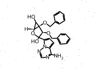 Nc1ncnn2c([C@]3(O)O[C@@H]4C(O)[C@]4(OCc4ccccc4)[C@H]3OCc3ccccc3)ccc12